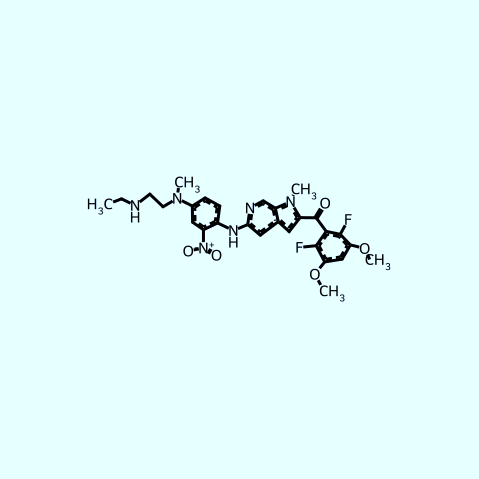 CCNCCN(C)c1ccc(Nc2cc3cc(C(=O)c4c(F)c(OC)cc(OC)c4F)n(C)c3cn2)c([N+](=O)[O-])c1